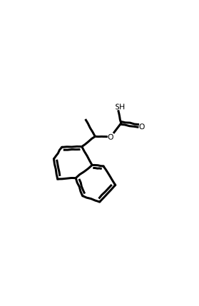 CC(OC(=O)S)c1cccc2ccccc12